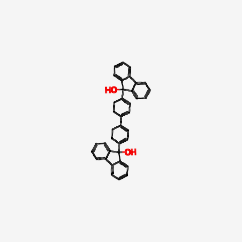 OC1(C2=CC=C(C3=CC=C(C4(O)c5ccccc5-c5ccccc54)CC3)CC2)c2ccccc2-c2ccccc21